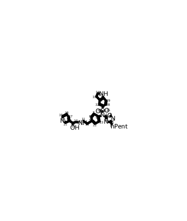 CCCCCc1noc(N(c2ccc(CCNCC(O)c3cccnc3)cc2)S(=O)(=O)c2ccc3c(c2)CCN3)n1